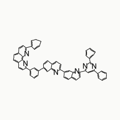 C1=CC(c2ccc3ccc4ccc(-c5cccc(-c6ccc7ccc(-c8ccc9ccc(-c%10cc(-c%11ccccc%11)nc(-c%11ccccc%11)n%10)nc9c8)nc7c6)c5)nc4c3n2)=CCC1